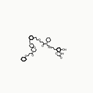 O=C1COc2c(CCNCCN(C(=O)CCOCCc3cccc(CN4CCC5(CC4)CN(C(=O)CCOc4ccccc4)CCO5)c3)C3CCCCC3)ccc(O)c2N1